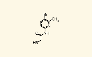 Cc1nc(NC(=O)CS)ccc1Br